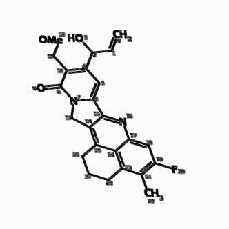 C=CC(O)c1cc2n(c(=O)c1COC)Cc1c-2nc2cc(F)c(C)c3c2c1CCC3